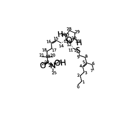 CCCCC=C(CC)CCSC[C@@H]1[C@H](C/C=C\CCC(C)(C)C(=O)N(C)O)[C@@H]2CC[C@H]1O2